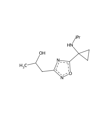 CC(O)Cc1noc(C2(NC(C)C)CC2)n1